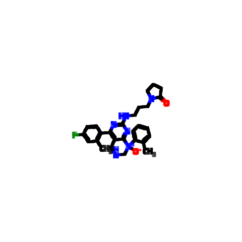 Cc1cc(F)ccc1-c1nc(NCCCN2CCCC2=O)nc2c1CNC[N+]2([O-])c1ccccc1C